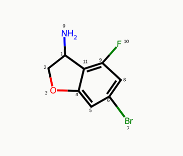 NC1COc2cc(Br)cc(F)c21